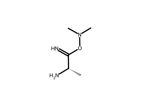 C[C@H](N)C(=N)ON(C)C